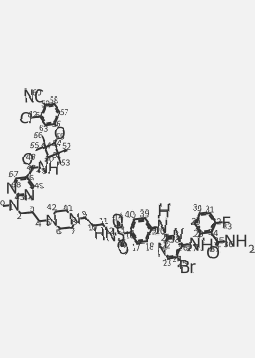 CN(CCCN1CCN(CCCNS(=O)(=O)c2ccc(Nc3ncc(Br)c(Nc4cccc(F)c4C(N)=O)n3)cc2)CC1)c1ncc(C(=O)NC2C(C)(C)C(Oc3ccc(C#N)c(Cl)c3)C2(C)C)cn1